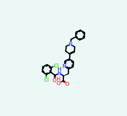 O=C(N[C@@H](Cc1ccc(C2=CCN(Cc3ccccc3)CC2)cn1)C(=O)O)c1c(Cl)cccc1Cl